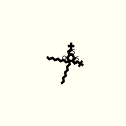 CCCCCCCCC1(CCCCCCCC)C(=O)c2cc(C(C)(C)C)sc2-c2sc(C(C)(C)C)cc21